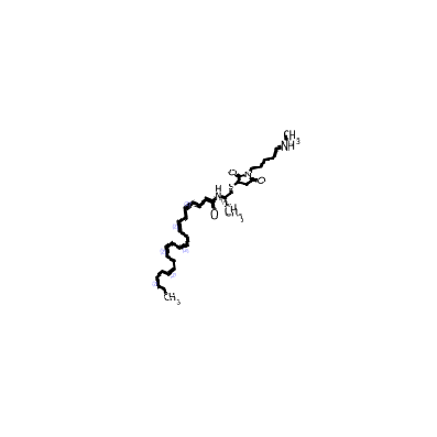 CC/C=C\C/C=C\C/C=C\C/C=C\C/C=C\C/C=C\CCC(=O)N[C@@H](C)CSC1CC(=O)N(CCCCCNC)C1=O